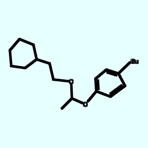 CCC(C)c1ccc(OC(C)OCCC2CCCCC2)cc1